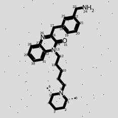 C[C@@H]1CCC[C@H](C)N1CCCCCn1c(=O)c(Cc2cccc(CN)c2)nc2ccccc21